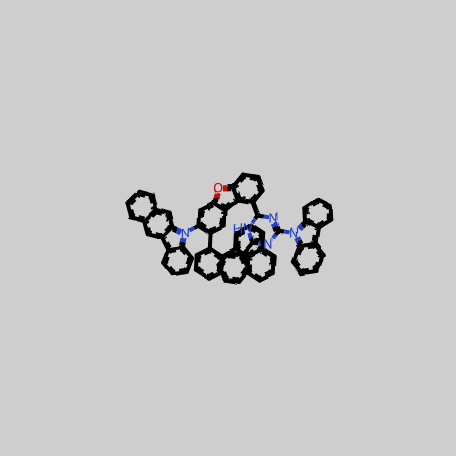 c1ccc(C2=NC(n3c4ccccc4c4ccccc43)=NC(c3cccc4oc5cc(-n6c7ccccc7c7cc8ccccc8cc76)c(-c6ccccc6-c6cccc7ccccc67)cc5c34)N2)cc1